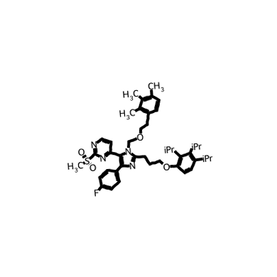 Cc1ccc(CCOCn2c(CCCOc3ccc(C(C)C)c(C(C)C)c3C(C)C)nc(-c3ccc(F)cc3)c2-c2ccnc(S(C)(=O)=O)n2)c(C)c1C